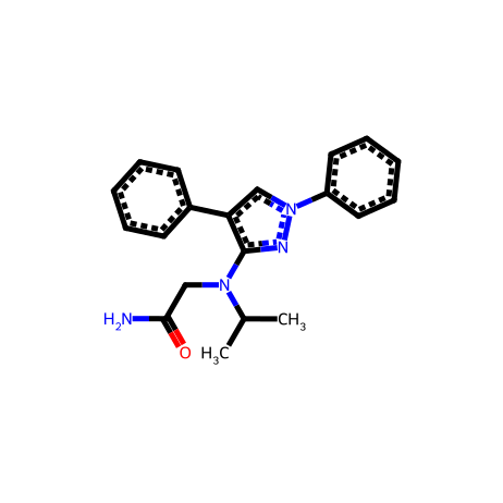 CC(C)N(CC(N)=O)c1nn(-c2ccccc2)cc1-c1ccccc1